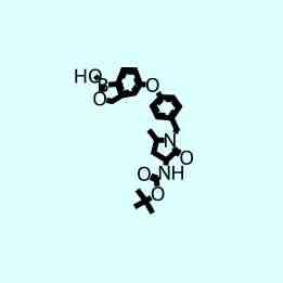 CC1CC(NC(=O)OC(C)(C)C)C(=O)N1Cc1ccc(Oc2ccc3c(c2)COB3O)cc1